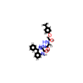 CC(C)c1ccc(OCC(=O)N[C@@H](C)C(=O)NC2N=C(c3ccccc3)c3ccccc3N(C)C2=O)cc1